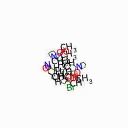 C#C[C@]1(O)CC[C@H]2[C@@H]3CCC4=Cc5oncc5C[C@]4(C)[C@H]3CC[C@@]21C.CC(=O)O[C@H]1C[C@@H]2CC[C@@H]3[C@H](CC[C@@]4(C)[C@H]3C[C@H]([N+]3(C)CCCCC3)[C@@H]4OC(C)=O)[C@@]2(C)C[C@@H]1N1CCCCC1.[Br-]